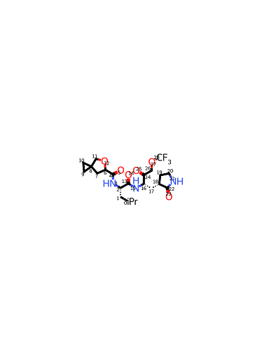 CC(C)C[C@H](NC(=O)C1CC2(CC2)CO1)C(=O)N[C@@H](C[C@@H]1CCNC1=O)C(=O)COC(F)(F)F